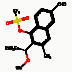 CCOC(=O)[C@@H](OC(C)(C)C)c1c(C)cc2cc(C=O)ccc2c1OS(=O)(=O)C(F)(F)F